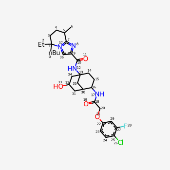 CCCCC1(CC)CCC(C)c2nc(C(=O)NC34CCC(NC(=O)COc5ccc(Cl)c(F)c5)C(CC(O)C3)C4)cn21